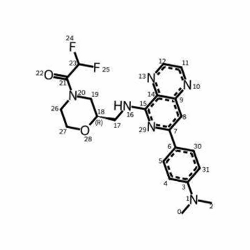 CN(C)c1ccc(-c2cc3nccnc3c(NC[C@@H]3CN(C(=O)C(F)F)CCO3)n2)cc1